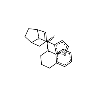 O=C(N1CCCc2ccccc21)N1C2C=C(c3ccsc3)CC1CC2